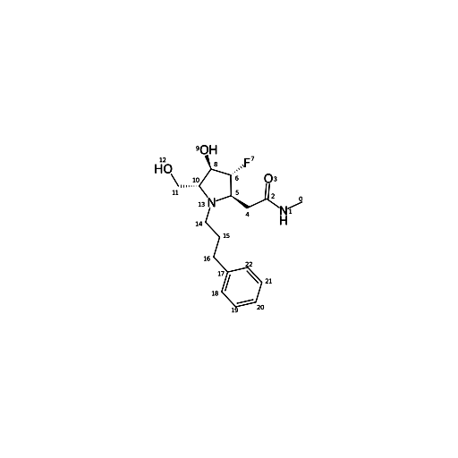 CNC(=O)C[C@@H]1[C@@H](F)[C@H](O)[C@@H](CO)N1CCCc1ccccc1